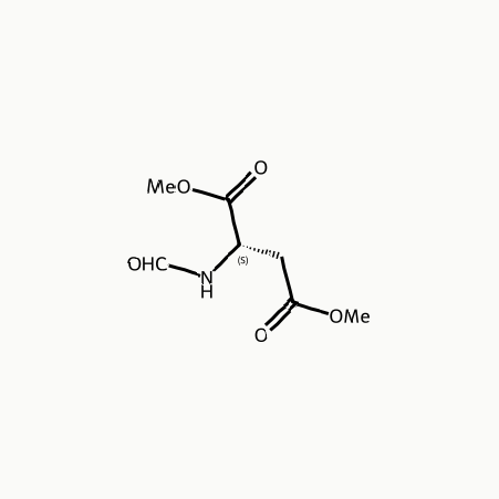 COC(=O)C[C@H](NC=O)C(=O)OC